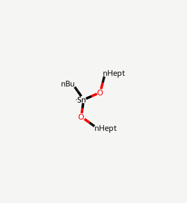 CCCCCCC[O][Sn]([CH2]CCC)[O]CCCCCCC